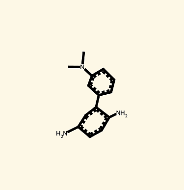 CN(C)c1cccc(-c2cc(N)ccc2N)c1